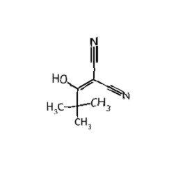 CC(C)(C)C(O)=C(C#N)C#N